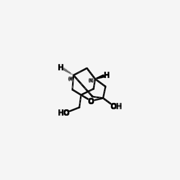 OCC12C[C@@H]3C[C@@H](CC(O)(C3)O1)C2